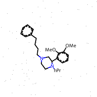 CCCN1CCN(CCCCc2ccccc2)CC1c1cccc(OC)c1OC